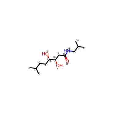 CC(C)C[CH][C@@H](O)[C@H](O)CC(=O)NCC(C)C